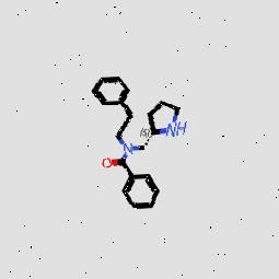 O=C(c1ccccc1)N(CCc1ccccc1)C[C@@H]1CCCN1